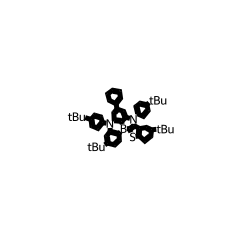 CC(C)(C)c1ccc(N2c3cc(C(C)(C)C)ccc3B3c4sc5ccc(C(C)(C)C)cc5c4N(c4ccc(C(C)(C)C)cc4)c4cc(C5=CC=CCC5)cc2c43)cc1